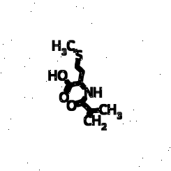 C=C(C)C(=O)NC(CCSC)C(=O)O